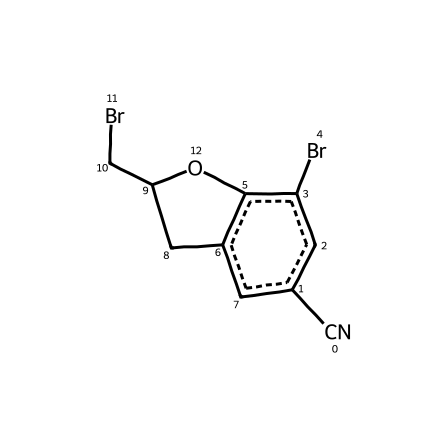 N#Cc1cc(Br)c2c(c1)CC(CBr)O2